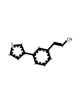 N#CC=Cc1cccc(-c2ccsc2)c1